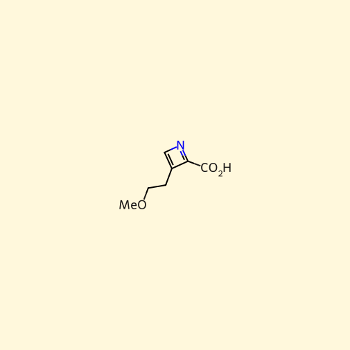 COCCC1=CN=C1C(=O)O